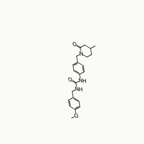 COc1ccc(CNC(=O)Nc2ccc(CN3CCC(C)CC3=O)cc2)cc1